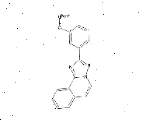 CCCCCOc1cccc(-c2nc3c4ccccc4ccn3n2)c1